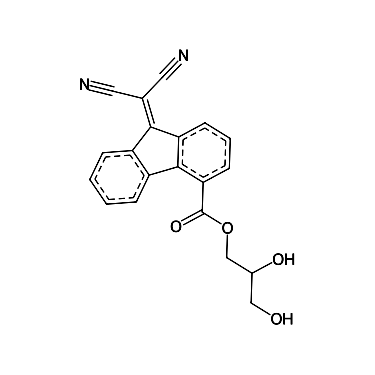 N#CC(C#N)=C1c2ccccc2-c2c(C(=O)OCC(O)CO)cccc21